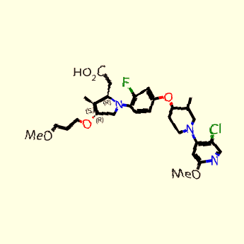 COCCCO[C@H]1CN(c2ccc(OC3CCN(c4cc(OC)ncc4Cl)CC3C)cc2F)[C@H](CC(=O)O)[C@@H]1C